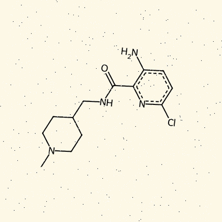 CN1CCC(CNC(=O)c2nc(Cl)ccc2N)CC1